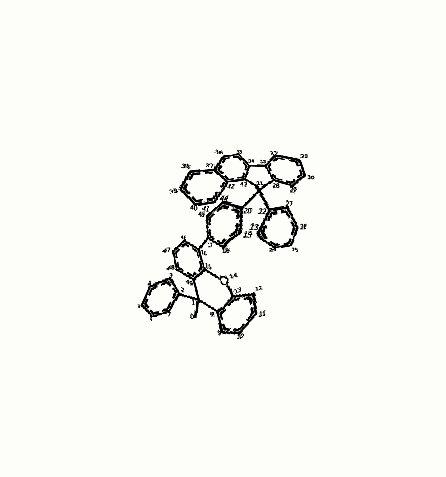 CC1(c2ccccc2)c2ccccc2Oc2c(-c3ccc(C4(c5ccccc5)c5ccccc5-c5ccc6ccccc6c54)cc3)cccc21